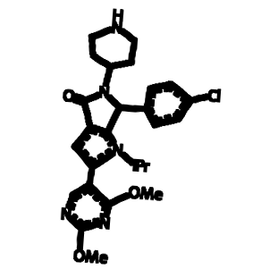 COc1ncc(-c2cc3c(n2C(C)C)C(c2ccc(Cl)cc2)N(C2CCNCC2)C3=O)c(OC)n1